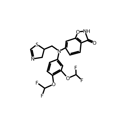 O=c1[nH]oc2cc(N(CC3CN=CS3)c3ccc(OC(F)F)c(OC(F)F)c3)ccc12